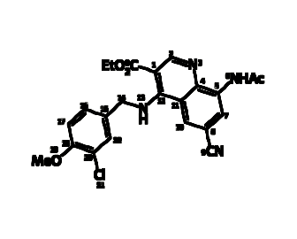 CCOC(=O)c1cnc2c(NC(C)=O)cc(C#N)cc2c1NCc1ccc(OC)c(Cl)c1